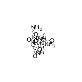 CC(C)CC(NC(=O)C(Cc1ccccc1)NC(=O)C(N)Cc1ccccc1)C(=O)NC(CCCCN)C(=O)N1CCC2(CC1)CC1(CNC(=O)C1)C2